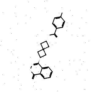 O=C(N[C@H]1CC2(C1)C[C@H](c1n[nH]c(=O)c3ccccc31)C2)c1ccc(Br)cc1